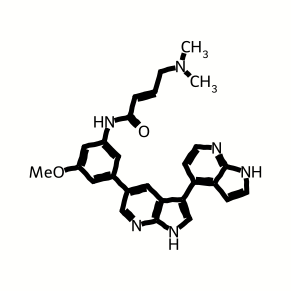 COc1cc(NC(=O)C=CCN(C)C)cc(-c2cnc3[nH]cc(-c4ccnc5[nH]ccc45)c3c2)c1